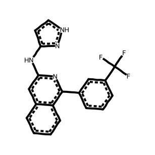 FC(F)(F)c1cccc(-c2nc(Nc3cc[nH]n3)cc3ccccc23)c1